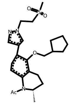 CC(=O)N1c2ccc(-c3cnn(CCS(C)(=O)=O)c3)c(OCC3CCCC3)c2CC[C@@H]1C